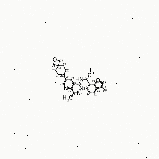 Cc1nnc(N[C@H](C)c2cccc3c(F)coc23)c2cc(N3CCC4(CC3)COC4)cnc12